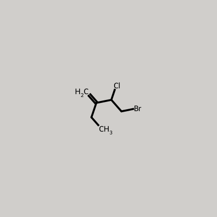 C=C(CC)C(Cl)CBr